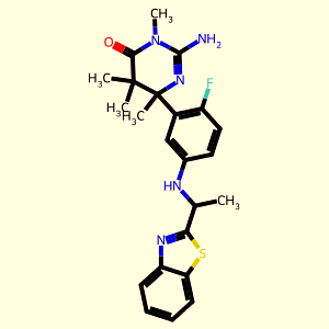 CC(Nc1ccc(F)c(C2(C)N=C(N)N(C)C(=O)C2(C)C)c1)c1nc2ccccc2s1